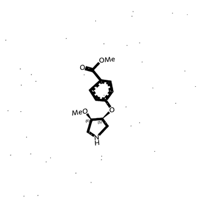 COC(=O)c1ccc(O[C@H]2CNC[C@H]2OC)cc1